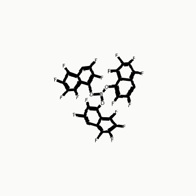 Fc1cc2c(F)c(F)c(F)c(F)c2c(OB(Oc2c(F)c(F)cc3c(F)c(F)c(F)c(F)c23)Oc2c(F)c(F)cc3c(F)c(F)c(F)c(F)c23)c1F